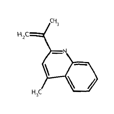 C=C(C)c1cc(C)c2ccccc2n1